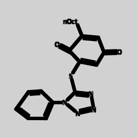 CCCCCCCCC1=CC(=O)C=C(Sc2nnnn2-c2ccccc2)C1=O